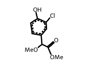 COC(=O)C(OC)c1ccc(O)c(Cl)c1